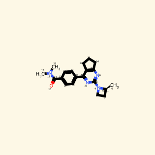 C[C@H]1CCN1c1nc2c(c(-c3ccc(C(=O)N(C)C)cc3)n1)CCC2